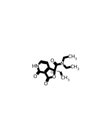 CCN(CC)C(=O)[C@@]1(CC)OC(=O)c2c1cc[nH]c2=O